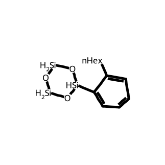 CCCCCCc1ccccc1[SiH]1O[SiH2]O[SiH2]O1